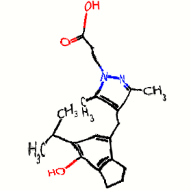 Cc1nn(CCC(=O)O)c(C)c1Cc1cc(C(C)C)c(O)c2c1CCC2